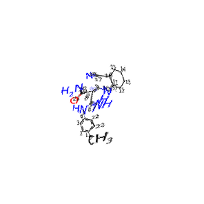 Cc1ccc(NC(=N)/C(=C\N[C@H]2CCCCC2C#N)C(N)=O)cc1